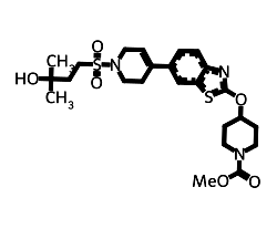 COC(=O)N1CCC(Oc2nc3ccc(C4=CCN(S(=O)(=O)CCC(C)(C)O)CC4)cc3s2)CC1